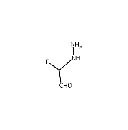 NNC(F)C=O